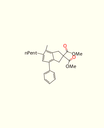 CCCCCc1cc(-c2ccccc2)c2c(c1C)CC(C(=O)OC)(C(=O)OC)C2